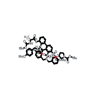 COc1ccc(CN(Cc2ccc(OC)cc2)S(=O)(=O)c2c(S(=O)(=O)N[C@@H]3CCN(C(=O)OC(C)(C)C)C3)ccc(-c3cccc(NC(=O)[C@@H](C)NC(=O)OC(C)(C)C)c3N)c2-c2nnn(Cc3ccc(OC)cc3)n2)cc1